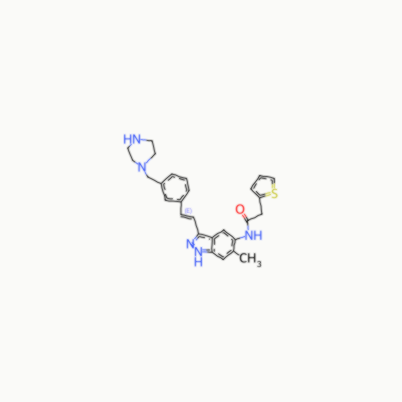 Cc1cc2[nH]nc(/C=C/c3cccc(CN4CCNCC4)c3)c2cc1NC(=O)Cc1cccs1